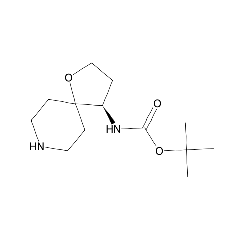 CC(C)(C)OC(=O)N[C@@H]1CCOC12CCNCC2